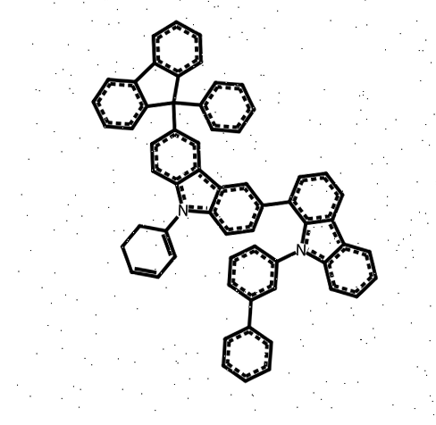 C1=CCCC(n2c3ccc(-c4cccc5c6ccccc6n(-c6cccc(-c7ccccc7)c6)c45)cc3c3cc(C4(c5ccccc5)c5ccccc5-c5ccccc54)ccc32)=C1